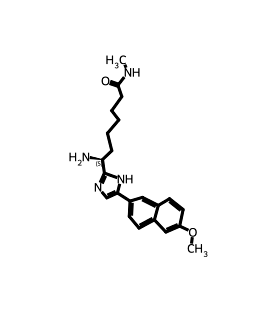 CNC(=O)CCCCC[C@H](N)c1ncc(-c2ccc3cc(OC)ccc3c2)[nH]1